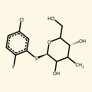 CC1C(O)[C@@H](Sc2cc(Cl)ccc2F)OC(CO)[C@@H]1O